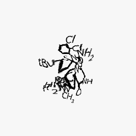 CN1C=C(C[N+]2(C(=O)C3(N(C(N)=O)c4cccc(Cl)c4Cl)CC=C(C(C)(C)C)S3)CCNC(=O)C2(C)CC(N)=O)ON1